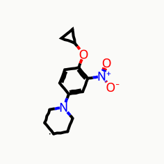 O=[N+]([O-])c1cc(N2CC[CH]CC2)ccc1OC1CC1